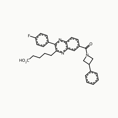 O=C(O)CCCCc1nc2cc(C(=O)N3CC(c4ccccc4)C3)ccc2nc1-c1ccc(F)cc1